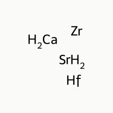 [CaH2].[Hf].[SrH2].[Zr]